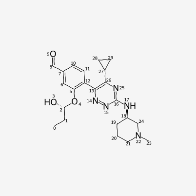 CC[C@H](O)Oc1cc(C=O)ccc1-c1nnc(N[C@@H]2CCCN(C)C2)nc1C1CC1